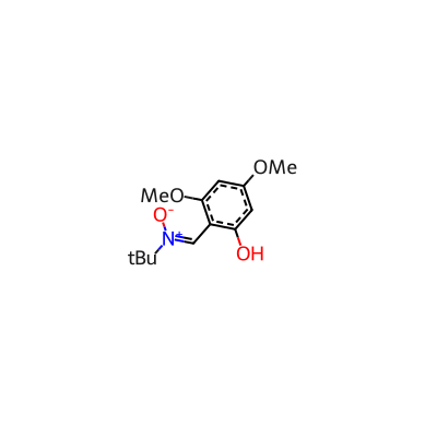 COc1cc(O)c(C=[N+]([O-])C(C)(C)C)c(OC)c1